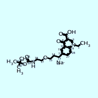 CCn1cc(C(=O)O)c(=O)c2cc(CCCOCCNC(=O)OC(C)(C)C)ccc21.[Na]